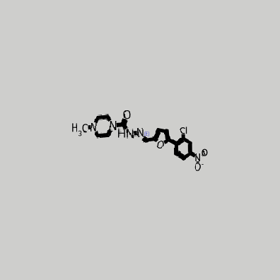 CN1CCN(C(=O)N/N=C/c2ccc(-c3ccc([N+](=O)[O-])cc3Cl)o2)CC1